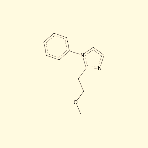 COCCc1nccn1-c1ccccc1